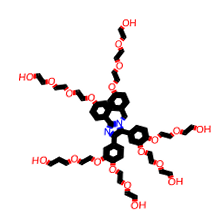 OCCCOCCOc1cc(-c2nc(-c3ccc(OCCOCCOCCO)cc3)n(Cc3ccc(OCCOCCOCCO)cc3)c2-c2ccc(OCCOCCO)c(OCCOCCO)c2)ccc1OCCOCCO